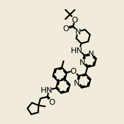 Cc1ccc2c(NC(=O)CC3(C)CCCC3)cccc2c1Oc1ncccc1-c1ccnc(NC2CCCN(C(=O)OC(C)(C)C)C2)n1